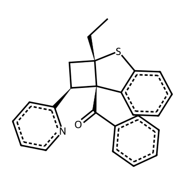 CC[C@]12C[C@H](c3ccccn3)[C@@]1(C(=O)c1ccccc1)c1ccccc1S2